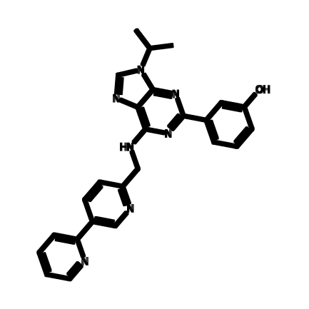 CC(C)n1cnc2c(NCc3ccc(-c4ccccn4)cn3)nc(-c3cccc(O)c3)nc21